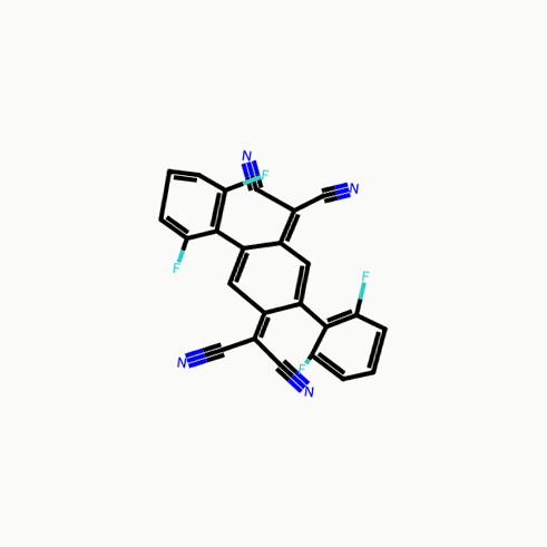 N#CC(C#N)=c1cc(-c2c(F)cccc2F)c(=C(C#N)C#N)cc1-c1c(F)cccc1F